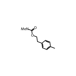 CNC(=O)OCCc1ccc(C)cc1